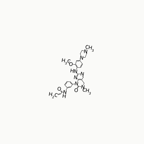 C=CC(=O)Nc1cccc(N2C(=O)N(C)Cc3cnc(Nc4ccc(N5CCN(C)CC5)cc4OC)nc32)c1